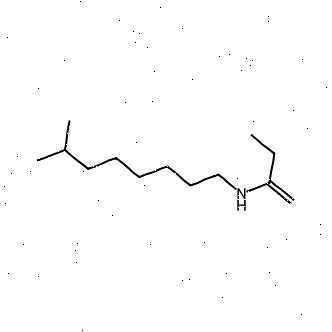 C=C(CC)NCCCCCCC(C)C